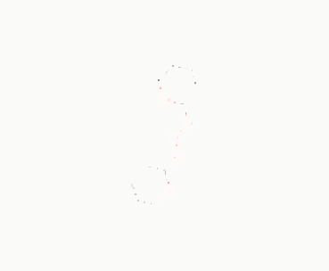 C1CCC(OOOC2CCCCO2)OC1